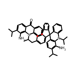 CC(C)c1ccc2c(c1N)N(C(C)C)c1ccccc1C21c2ccccc2-c2cc(CC(C)n3c4ccccc4c(=O)c4ccc(C(C)C)c(N)c43)ccc21